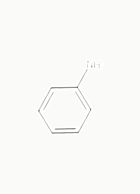 [NH]c1ccccc1